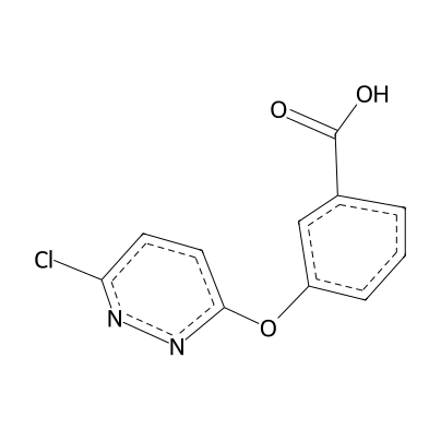 O=C(O)c1cccc(Oc2ccc(Cl)nn2)c1